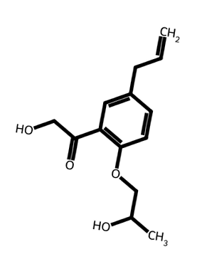 C=CCc1ccc(OCC(C)O)c(C(=O)CO)c1